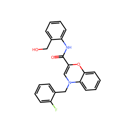 O=C(Nc1ccccc1CO)C1=CN(Cc2ccccc2F)c2ccccc2O1